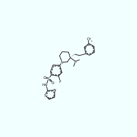 CN(C)[C@]1(CCc2cccc(C(F)(F)F)c2)CCCN(c2ccc(S(=O)(=O)Nc3nccs3)c(F)c2)C1